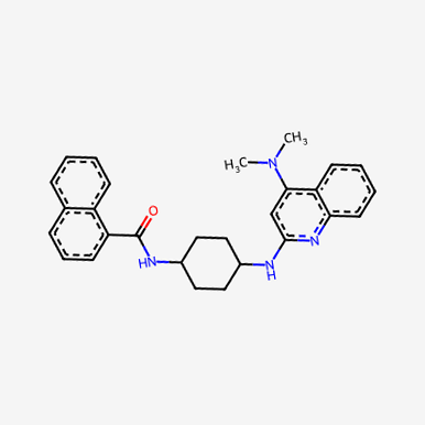 CN(C)c1cc(NC2CCC(NC(=O)c3cccc4ccccc34)CC2)nc2ccccc12